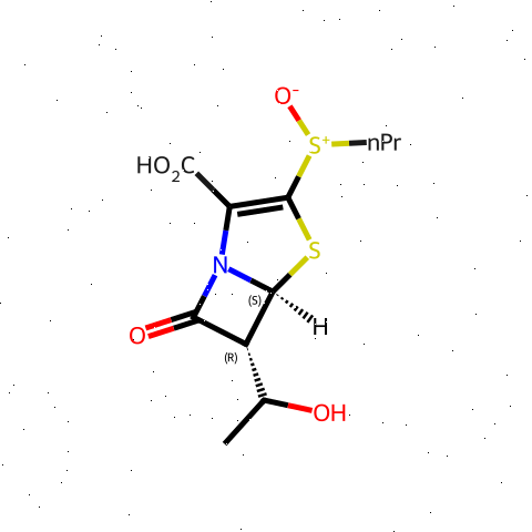 CCC[S+]([O-])C1=C(C(=O)O)N2C(=O)[C@@H](C(C)O)[C@@H]2S1